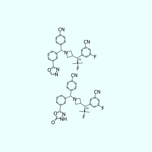 CC(C)(F)[C@H](c1cc(F)cc(C#N)c1)C1CN(C(c2ccc(C#N)cc2)c2cccc(-c3n[nH]c(=O)o3)c2)C1.CC(C)(F)[C@H](c1cc(F)cc(C#N)c1)C1CN(C(c2ccc(C#N)cc2)c2cccc(-c3nnco3)c2)C1